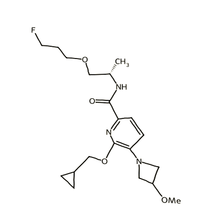 COC1CN(c2ccc(C(=O)N[C@@H](C)COCCCF)nc2OCC2CC2)C1